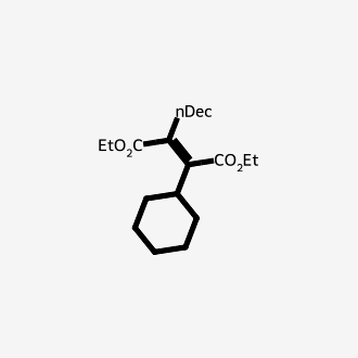 CCCCCCCCCCC(C(=O)OCC)=C(C(=O)OCC)C1CCCCC1